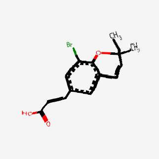 CC1(C)C=Cc2cc(C=CC(=O)O)cc(Br)c2O1